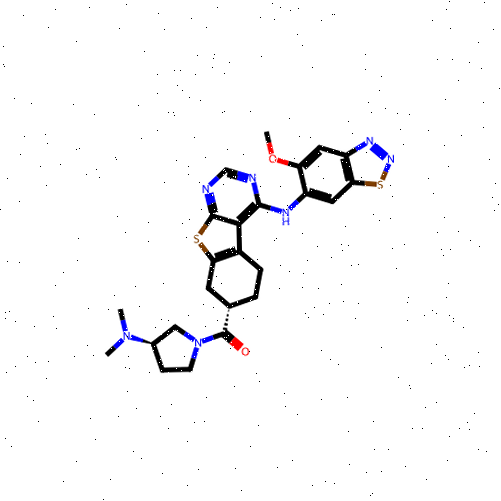 COc1cc2nnsc2cc1Nc1ncnc2sc3c(c12)CC[C@H](C(=O)N1CC[C@@H](N(C)C)C1)C3